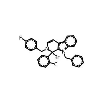 Fc1ccc(CN2C=Cc3c(n(Cc4ccccc4)c4ccccc34)C2(Br)c2ccccc2Cl)cc1